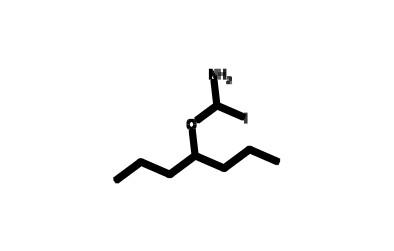 CCCC(CCC)OC(N)I